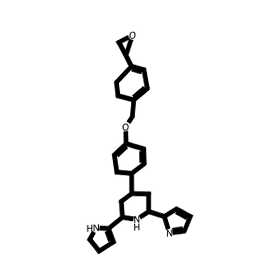 C1=CC(C2CC(C3C=CC(OCC4=CC=C(C5CO5)CC4)=CC3)CC(C3=CCCN3)N2)N=C1